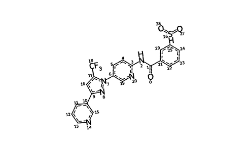 O=C(Nc1ccc(-n2nc(-c3cccnc3)cc2C(F)(F)F)cn1)c1cccc([SH](=O)=O)c1